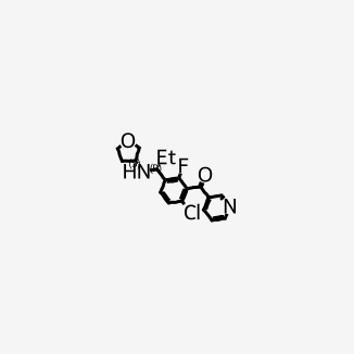 CC[C@@H](N[C@H]1CCOC1)c1ccc(Cl)c(C(=O)c2cccnc2)c1F